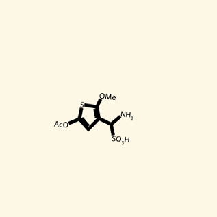 COc1sc(OC(C)=O)cc1C(N)S(=O)(=O)O